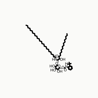 CCCCCCCCCCCCCCCCCCCCCCCCCCN[C@@H](CO[C@@H]1O[C@H](COC(=O)Nc2ccccc2C(C)(C)C)[C@H](O)[C@H](O)[C@H]1O)[C@H](O)[C@H](O)CCCCCCCCCCCCCC